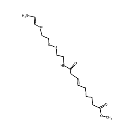 COC(=O)CCCCC=CCC(=O)NCCSSCCNC=CN